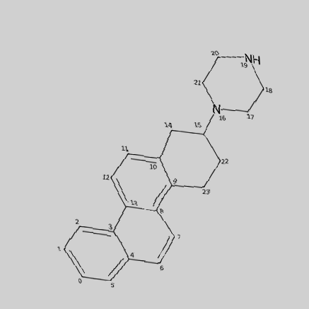 c1ccc2c(c1)ccc1c3c(ccc12)CC(N1CCNCC1)CC3